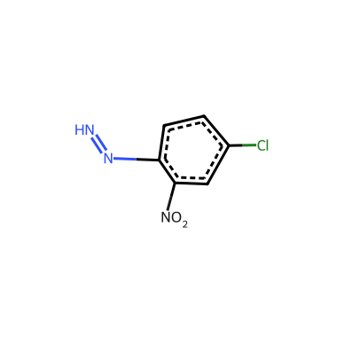 N=Nc1ccc(Cl)cc1[N+](=O)[O-]